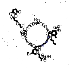 CCCCN1\C2=C/C=C/C=C/C3=Nc4c(cc(Br)c[n+]4CCC(C)S(=O)(=O)O)C3(C)CCOCCC(=O)NC(C(=O)NCCOCCC(=O)ON3C(=O)CCC3=O)CCCCNC(=O)CCOCCC2(C)c2cc(S(=O)(=O)[O-])cc(C)c21